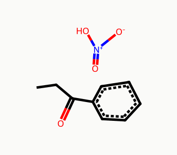 CCC(=O)c1ccccc1.O=[N+]([O-])O